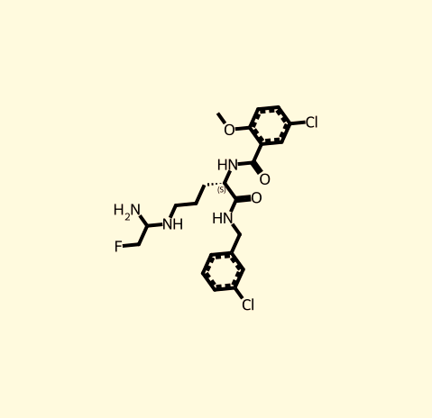 COc1ccc(Cl)cc1C(=O)N[C@@H](CCCNC(N)CF)C(=O)NCc1cccc(Cl)c1